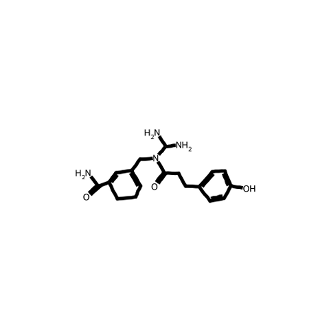 NC(=O)C1=CC(CN(C(=O)CCc2ccc(O)cc2)C(N)N)=CCC1